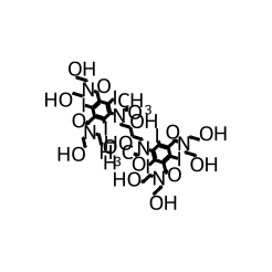 CC(=O)N(CC(O)C(O)CN(C(C)=O)c1c(I)c(C(=O)N(CCO)CCO)c(I)c(C(=O)N(CCO)CCO)c1I)c1c(I)c(C(=O)N(CCO)CCO)c(I)c(C(=O)N(CCO)CCO)c1I